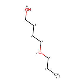 OCCCCOCCC(F)(F)F